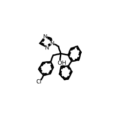 OC(Cc1ccc(Cl)cc1)(Cn1cncn1)c1ccccc1-c1ccccc1